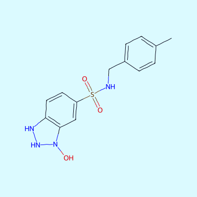 Cc1ccc(CNS(=O)(=O)c2ccc3c(c2)N(O)NN3)cc1